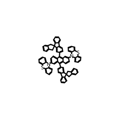 c1ccc2c(c1)CC1(C2)c2ccccc2-c2ccc(-c3c4ccc(N5c6ccccc6Sc6ccccc65)cc4c(-c4ccc5c(c4)C4(Cc6ccccc6C4)c4ccccc4-5)c4ccc(N5c6ccccc6Sc6ccccc65)cc34)cc21